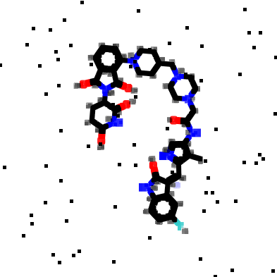 Cc1c(NC(=O)CN2CCN(CC3CCN(c4cccc5c4C(=O)N(C4CCC(=O)NC4=O)C5=O)CC3)CC2)c[nH]c1/C=C1\C(=O)Nc2ccc(F)cc21